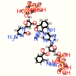 [N-]=[N+]=NCc1ccccc1C(=O)OC1C[C@H](n2cnc3c(Nc4cccc(C(=O)OC5C[C@H](n6ccc(N)nc6=O)O[C@@H]5COP(=O)(O)OP(=O)(O)OP(=O)(O)O)c4CN=[N+]=[N-])ncnc32)O[C@@H]1COP(=O)(O)OP(=O)(O)OP(=O)(O)O